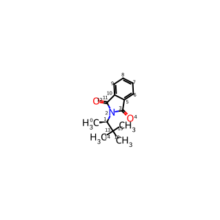 C[C@@H](N1C(=O)c2ccccc2C1=O)C(C)(C)C